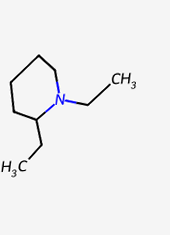 CCC1CCCCN1CC